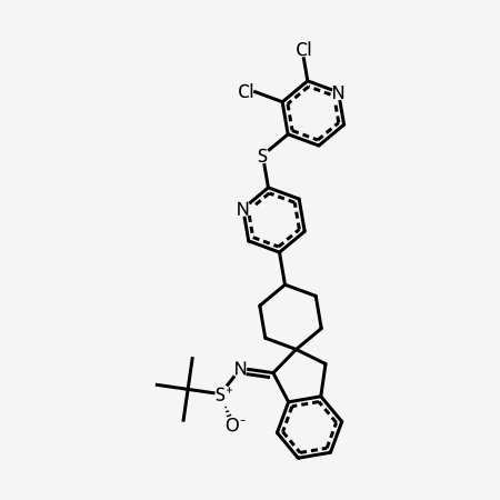 CC(C)(C)[S@@+]([O-])N=C1c2ccccc2CC12CCC(c1ccc(Sc3ccnc(Cl)c3Cl)nc1)CC2